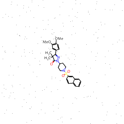 COc1ccc(C2=NN(C3CCN(S(=O)(=O)c4ccc5ccccc5c4)CC3)C(=O)C2(C)C)cc1OC